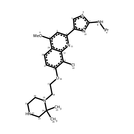 COc1cc(-c2csc(NC(C)C)n2)nc2c(Cl)c(OCCN3CCNCC3(C)C)ccc12